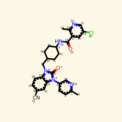 Cc1ccc(-n2c(=O)n(CC3CCC(NC(=O)c4cc(Cl)cnc4C)CC3)c3ccc(C#N)cc32)cn1